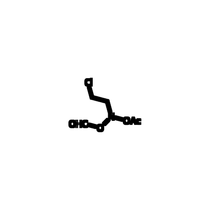 CC(=O)ON(CCCl)OC=O